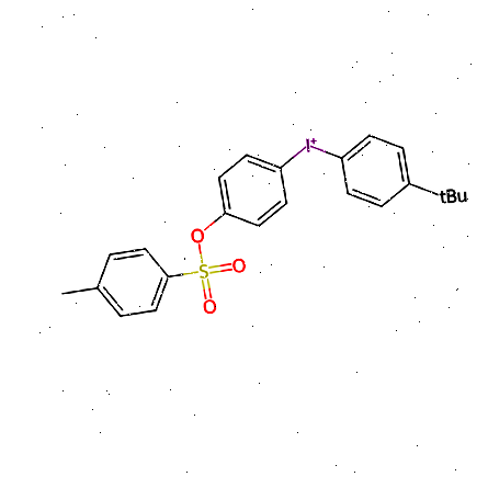 Cc1ccc(S(=O)(=O)Oc2ccc([I+]c3ccc(C(C)(C)C)cc3)cc2)cc1